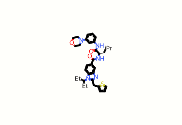 CCC(CC)n1c(Cc2cccs2)nc2cc(C(=O)N[C@@H](CC(C)C)C(=O)Nc3cccc(N4CCOCC4)c3)ccc21